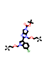 CC(C)(C)OC(=O)N1Cc2nc(-c3cn(COCC[Si](C)(C)C)c4cc(Br)ccc34)n(COCC[Si](C)(C)C)c2C1